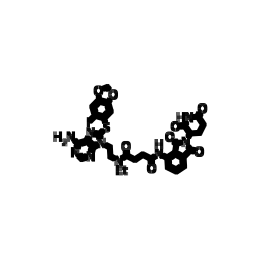 CCN(CCn1c(Sc2cc3c(cc2I)OCO3)nc2c(N)ncnc21)C(=O)CCC(=O)Nc1cccc2c1C(=O)N(C1CCC(=O)NC1=O)C2=O